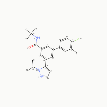 Cc1cc(-c2cc(C(=O)NC(C)(C)C)cc(-c3ccnn3C(C)C)c2)ccc1F